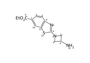 CCOC(=O)c1ccc2nc(N3CC(N)C3)sc2c1